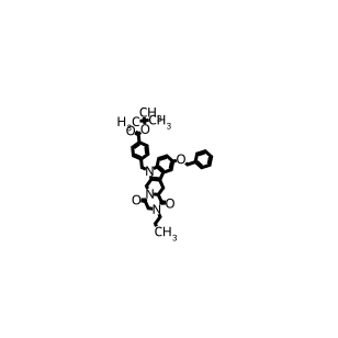 CCCN1CC(=O)N2Cc3c(c4cc(OCc5ccccc5)ccc4n3Cc3ccc(C(=O)OC(C)(C)C)cc3)CC2C1=O